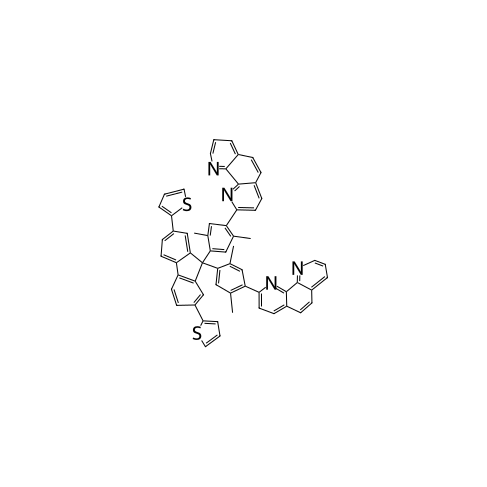 Cc1cc(C2(c3cc(C)c(-c4ccc5ccc6cccnc6c5n4)cc3C)c3cc(-c4cccs4)ccc3-c3ccc(-c4cccs4)cc32)c(C)cc1-c1ccc2ccc3cccnc3c2n1